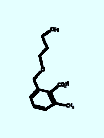 Cc1cccc(COCCCO)c1C(=O)O